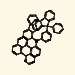 c1ccc(-c2cccc3cccc(-c4ccccc4N(c4cccc(C5(c6ccccc6)c6ccccc6-c6ccccc65)c4)c4cccc5c4sc4ccccc45)c23)cc1